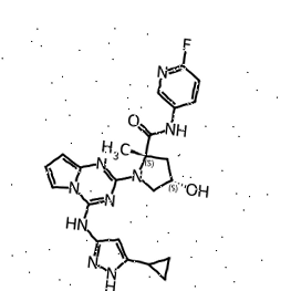 C[C@@]1(C(=O)Nc2ccc(F)nc2)C[C@H](O)CN1c1nc(Nc2cc(C3CC3)[nH]n2)n2cccc2n1